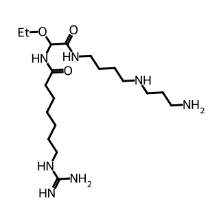 CCOC(NC(=O)CCCCCCNC(=N)N)C(=O)NCCCCNCCCN